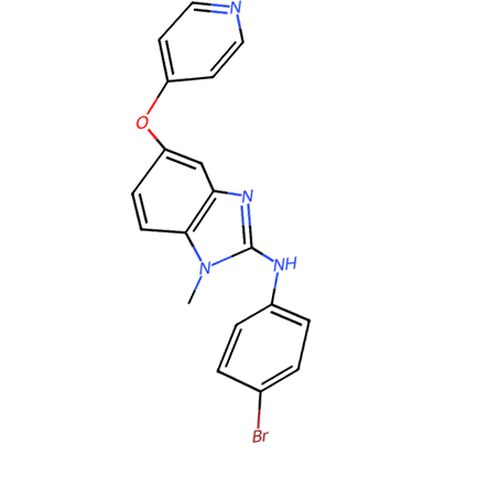 Cn1c(Nc2ccc(Br)cc2)nc2cc(Oc3ccncc3)ccc21